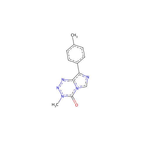 Cc1ccc(-c2ncn3c(=O)n(C)nnc23)cc1